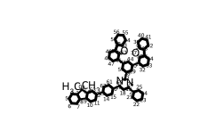 CC1(C)c2ccccc2-c2ccc(-c3ccc(-c4cc(-c5ccccc5)nc(-c5cc(-c6cccc7c6oc6ccccc67)cc(-c6cccc7c6oc6ccccc67)c5)n4)cc3)cc21